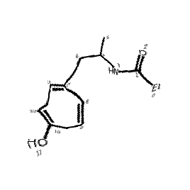 CCC(=O)NC(C)Cc1ccc(O)cc1